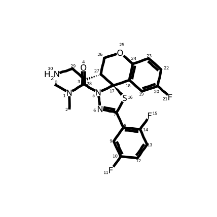 CN(C)C(=O)N1N=C(c2cc(F)ccc2F)S[C@@]12c1cc(F)ccc1OC[C@H]2CCN